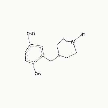 CC(C)N1CCN(Cc2cc(C=O)ccc2O)CC1